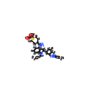 O=C(O)NCc1ccc(-c2cc3c(NC4CCS(=O)(=O)CC4)cccc3n2CC(F)(F)F)cc1